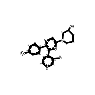 OC1CCCN(c2cnc(-c3ccc(C(F)(F)F)cc3)c(-c3ccncc3Cl)n2)C1